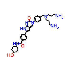 NCCCN(CCCN)Cc1ccc(-n2cc3cc(-c4ccc(C(=O)N[C@H]5CC[C@H](O)CC5)cc4)[nH]c3nc2=O)cc1